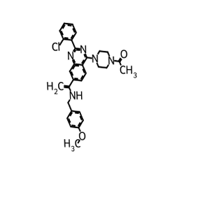 C=C(NCc1ccc(OC)cc1)c1ccc2c(N3CCN(C(C)=O)CC3)nc(-c3ccccc3Cl)nc2c1